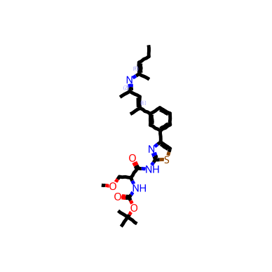 CC/C=C(C)/N=C(C)\C=C(/C)c1cccc(-c2csc(NC(=O)C(COC)NC(=O)OC(C)(C)C)n2)c1